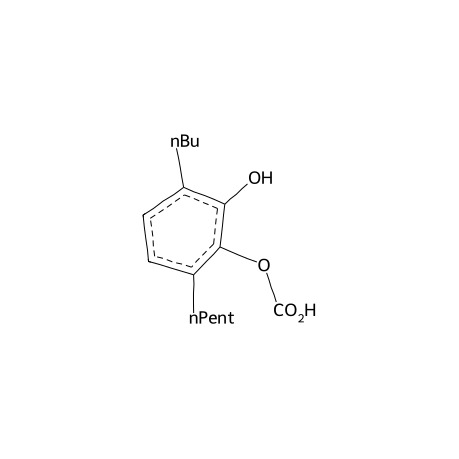 CCCCCc1ccc(CCCC)c(O)c1OC(=O)O